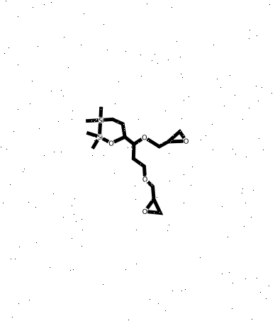 C[Si]1(C)CCC(C(CCOCC2CO2)OCC2CO2)O[Si]1(C)C